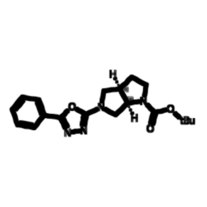 CC(C)(C)OC(=O)N1CC[C@@H]2CN(c3nnc(-c4ccccc4)o3)C[C@@H]21